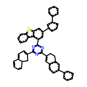 C1=CC2=CC=C(c3nc(C4=Cc5ccc(-c6ccccc6)cc5CC4)nc(-c4cc(-c5cccc(-c6ccccc6)c5)cc5sc6ccccc6c45)n3)CC2C=C1